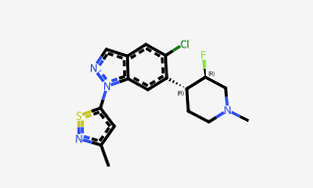 Cc1cc(-n2ncc3cc(Cl)c([C@H]4CCN(C)C[C@@H]4F)cc32)sn1